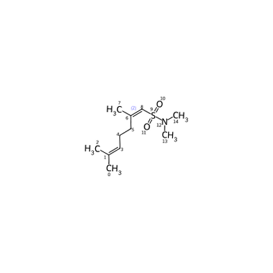 CC(C)=CCC/C(C)=C\S(=O)(=O)N(C)C